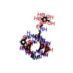 O=C(COC1OC(CO)[C@@H](O)C(O)[C@H]1O)NCCCCC1CN2CCNC(=O)c3cccc(c3O)C(=O)NCCN(CCNC(=O)c3cccc(c3O)C(=O)N1)CCN1CCNC(=O)c3cccc(c3O)C(=O)NCCN(CCNC(=O)c3cccc(c3O)C(=O)NCC1)CC2